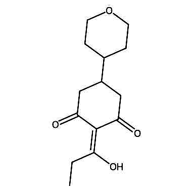 CCC(O)=C1C(=O)CC(C2CCOCC2)CC1=O